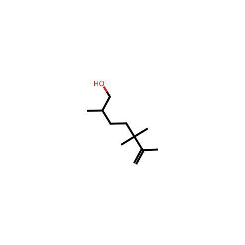 C=C(C)C(C)(C)CCC(C)CO